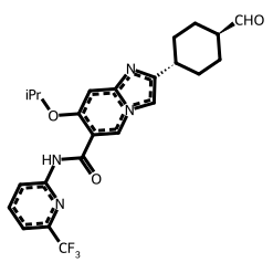 CC(C)Oc1cc2nc([C@H]3CC[C@H](C=O)CC3)cn2cc1C(=O)Nc1cccc(C(F)(F)F)n1